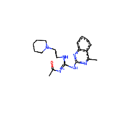 CC(=O)/N=C(\NCCN1CCCCC1)Nc1nc(C)c2ccccc2n1